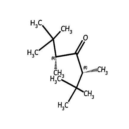 C[C@@H](C(=O)[C@H](C)C(C)(C)C)C(C)(C)C